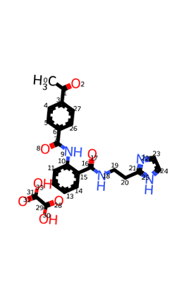 CC(=O)c1ccc(C(=O)Nc2ccccc2C(=O)NCCc2ncc[nH]2)cc1.O=C(O)C(=O)O